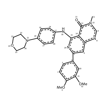 COc1ccc(-c2cc3ncn(C)c(=O)c3c(Nc3ccc(N4CCOCC4)cc3)n2)cc1OC